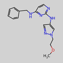 COCCn1cc(Nc2nccc(NCc3ccccc3)n2)cn1